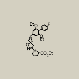 CCOC(=O)C1CCCN(C2=NOC3(C2)CN(Cc2cc(OCC)c(-c4ccc(F)cc4)c(OCC)c2)C3)C1